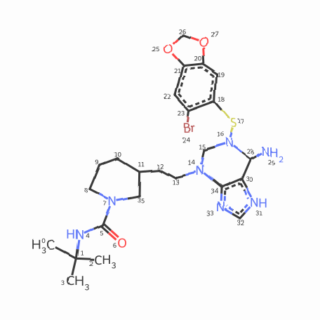 CC(C)(C)NC(=O)N1CCCC(CCN2CN(Sc3cc4c(cc3Br)OCO4)C(N)c3[nH]cnc32)C1